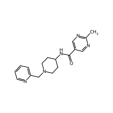 Cc1ncc(C(=O)NC2CCN(Cc3ccccn3)CC2)cn1